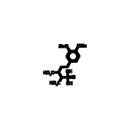 COc1ccc(CCC(C(=O)O)C(C(=O)O)P(=O)(O)O)cc1OC